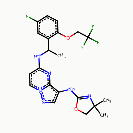 CC(Nc1ccn2ncc(NC3=NC(C)(C)CO3)c2n1)c1cc(F)ccc1OCC(F)(F)F